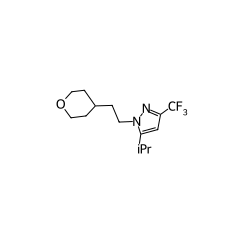 CC(C)c1cc(C(F)(F)F)nn1CCC1CCOCC1